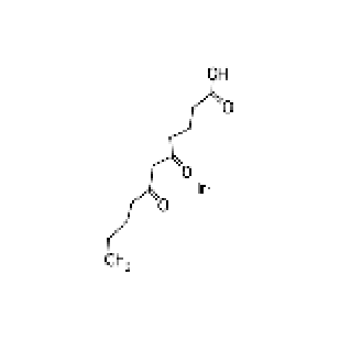 CCCCC(=O)CC(=O)CCCC(=O)O.[Ir]